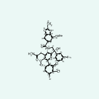 CCOc1c(CC(N)=O)cc([C@@](O)(CNC(=O)c2cc(OC)c3nc(C)oc3c2)c2cccc(F)c2)nc1-c1ccc(F)c(Cl)c1Cl